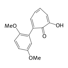 COc1ccc(OC)c(-c2ccccc(O)c2=O)c1